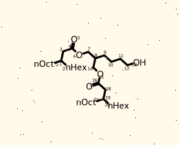 CCCCCCCCC(CCCCCC)CC(=O)OCC(CCCCO)COC(=O)CC(CCCCCC)CCCCCCCC